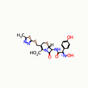 Cc1nnc(SCC2=C(C(=O)O)N3C(=O)C(NC(=O)/C(=N/O)c4ccc(O)cc4)[C@H]3SC2)s1